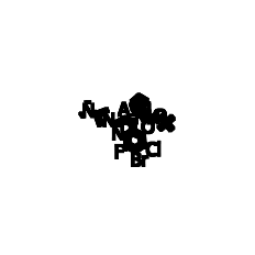 CN(C)C1CN(c2nc3c(F)c(Br)c(Cl)cc3c(NC3C4CC3N(C(=O)OC(C)(C)C)C4)c2[AsH2])C1